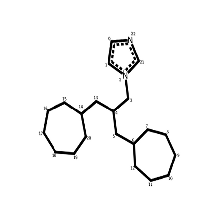 c1cn(CC(CC2CCCCCC2)CC2CCCCCC2)cn1